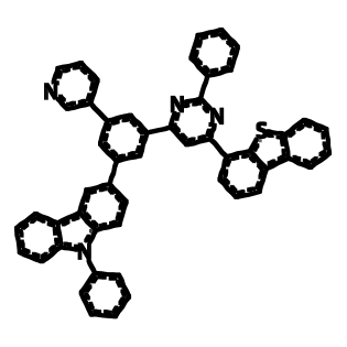 c1ccc(-c2nc(-c3cc(-c4cccnc4)cc(-c4ccc5c(c4)c4ccccc4n5-c4ccccc4)c3)cc(-c3cccc4c3sc3ccccc34)n2)cc1